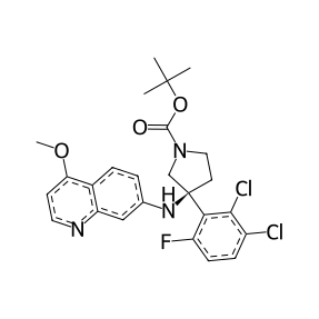 COc1ccnc2cc(N[C@]3(c4c(F)ccc(Cl)c4Cl)CCN(C(=O)OC(C)(C)C)C3)ccc12